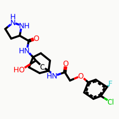 O=C(COc1ccc(Cl)c(F)c1)NC12CCC(NC(=O)C3CCNN3)(CC1)C(O)C2